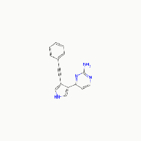 Nc1nccc(-c2c[nH]cc2C#Cc2ccccc2)n1